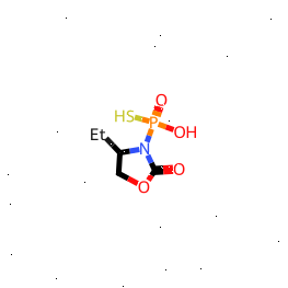 CCC1COC(=O)N1P(=O)(O)S